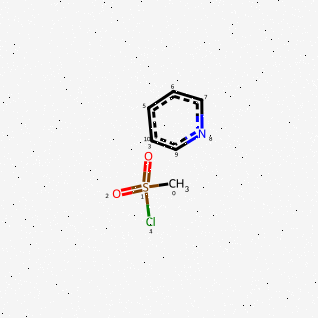 CS(=O)(=O)Cl.c1ccncc1